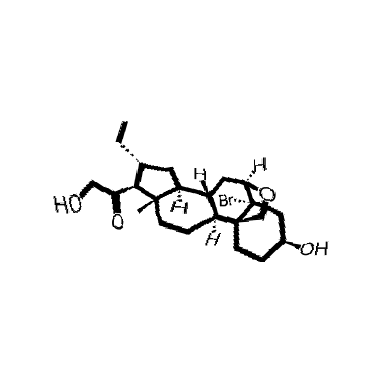 CC[C@@H]1C[C@H]2[C@@H]3C[C@H]4OC[C@@]5(CC[C@H](O)C[C@]45Br)[C@H]3CC[C@]2(C)[C@H]1C(=O)CO